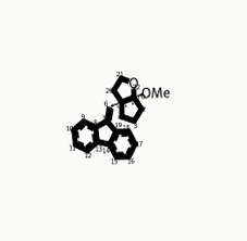 CO[C@]12CCC[C@@]1(C=C1c3ccccc3-c3ccccc31)CCO2